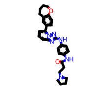 O=C(CCN1CCCC1)Nc1ccc(Nc2nc3cccc(-c4ccc5c(c4)CCCCO5)n3n2)cc1